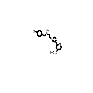 CC(C)N(CCn1cnc(-c2cc(C(=O)O)ccn2)c1)Cc1ccc(Cl)cc1